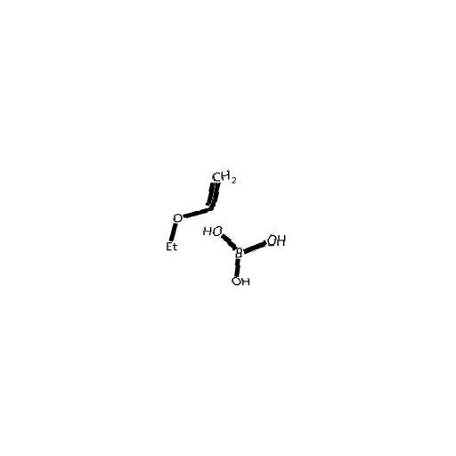 C=COCC.OB(O)O